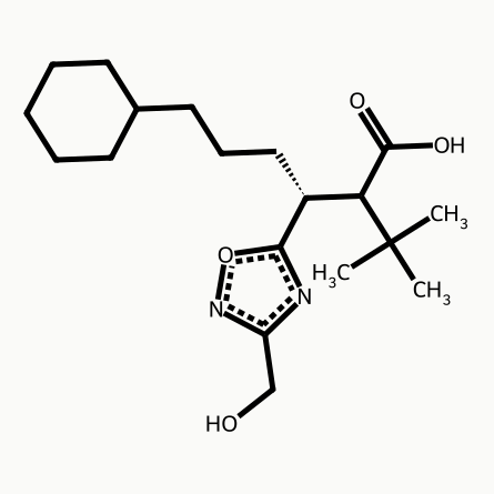 CC(C)(C)C(C(=O)O)[C@@H](CCCC1CCCCC1)c1nc(CO)no1